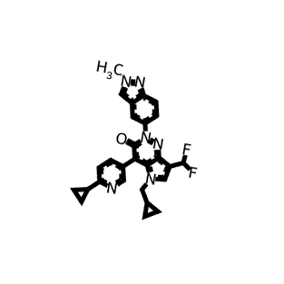 Cn1cc2cc(-n3nc4c(C(F)F)cn(CC5CC5)c4c(-c4ccc(C5CC5)nc4)c3=O)ccc2n1